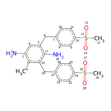 Cc1c(N)cc(Cc2ccc(S(C)(=O)=O)cc2)c(N)c1Cc1ccc(S(C)(=O)=O)cc1